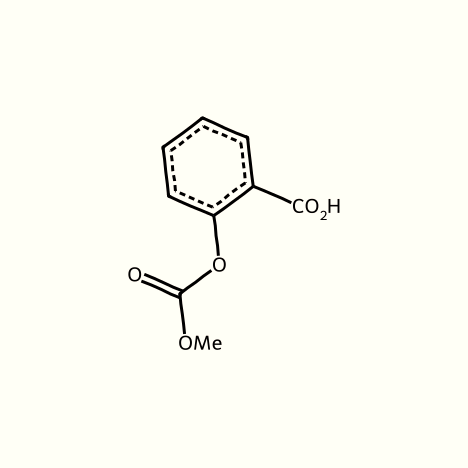 COC(=O)Oc1ccccc1C(=O)O